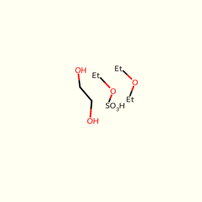 CCOCC.CCOS(=O)(=O)O.OCCO